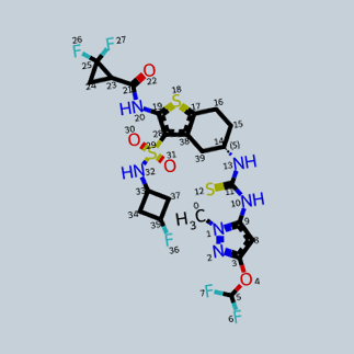 Cn1nc(OC(F)F)cc1NC(=S)N[C@H]1CCc2sc(NC(=O)C3CC3(F)F)c(S(=O)(=O)NC3CC(F)C3)c2C1